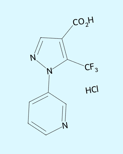 Cl.O=C(O)c1cnn(-c2cccnc2)c1C(F)(F)F